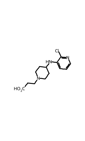 O=C(O)CCN1CCC(Nc2cccnc2Cl)CC1